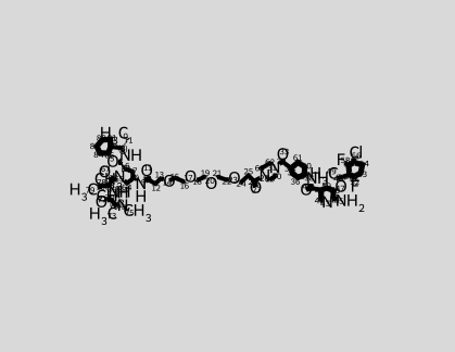 CC[C@H](NC(=O)[C@H]1C[C@@H](NC(=O)CCOCCOCCOCCOCCC(=O)N2CCN(C(=O)c3ccc(NC(=O)c4cnc(N)c(O[C@H](C)c5c(F)ccc(Cl)c5F)c4)cc3)CC2)CN1C(=O)[C@H](NC(=O)[C@@H](C)NC)C(C)(C)C)c1ccccc1